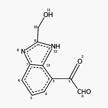 O=CC(=O)c1cccc2nc(CO)[nH]c12